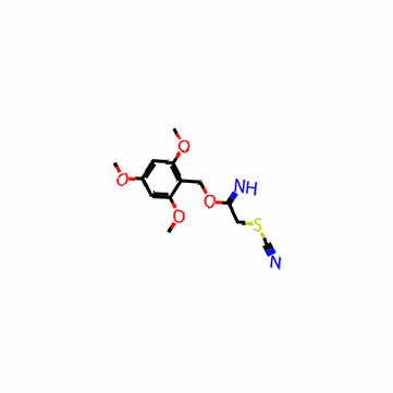 COc1cc(OC)c(COC(=N)CSC#N)c(OC)c1